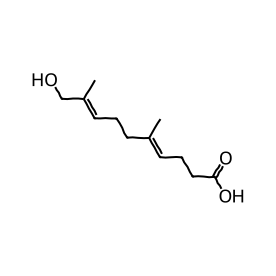 C/C(=C\CC/C(C)=C/CCC(=O)O)CO